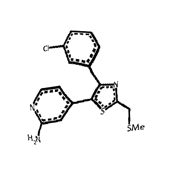 CSCc1nc(-c2cccc(Cl)c2)c(-c2ccnc(N)c2)s1